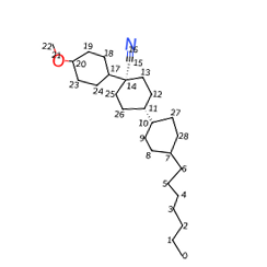 CCCCCCCC1CCC([C@H]2CC[C@](C#N)(C3CCC(OC)CC3)CC2)CC1